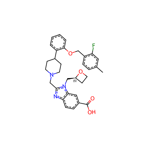 Cc1ccc(COc2ccccc2C2CCN(Cc3nc4ccc(C(=O)O)cc4n3C[C@@H]3CCO3)CC2)c(F)c1